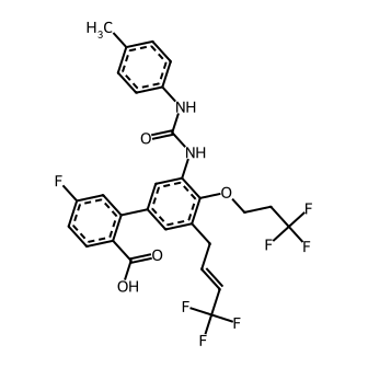 Cc1ccc(NC(=O)Nc2cc(-c3cc(F)ccc3C(=O)O)cc(C/C=C/C(F)(F)F)c2OCCC(F)(F)F)cc1